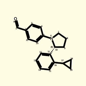 O=Cc1ccc(N2CCC[C@@H]2c2ccccc2C2CC2)cc1